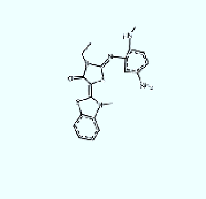 CCN1C(=O)C(=C2Sc3ccccc3N2C)SC1=Nc1cc(N)ccc1NC